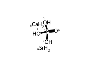 O=P(O)(O)O.[CaH2].[SrH2]